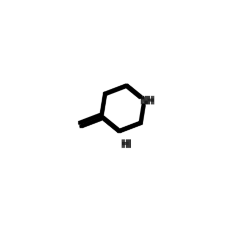 C=C1CCNCC1.I